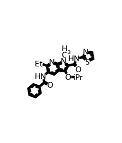 CCc1nc2c(cc1NC(=O)c1ccccc1)c(OC(C)C)c(C(=O)Nc1nccs1)n2C